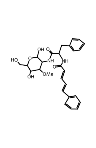 COC1C(O)C(CO)OC(O)C1NC(=O)C(Cc1ccccc1)NC(=O)/C=C/C=C/c1ccccc1